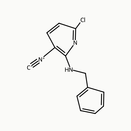 [C-]#[N+]c1ccc(Cl)nc1NCc1ccccc1